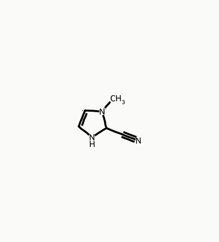 CN1[C]=CNC1C#N